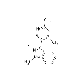 Cc1cc(C(F)(F)F)c(-c2nn(C)c3ccccc23)cn1